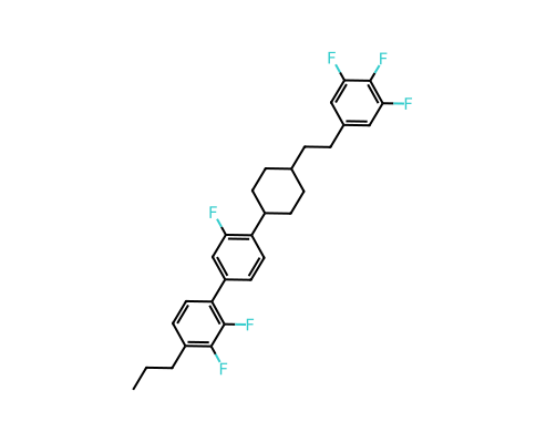 CCCc1ccc(-c2ccc(C3CCC(CCc4cc(F)c(F)c(F)c4)CC3)c(F)c2)c(F)c1F